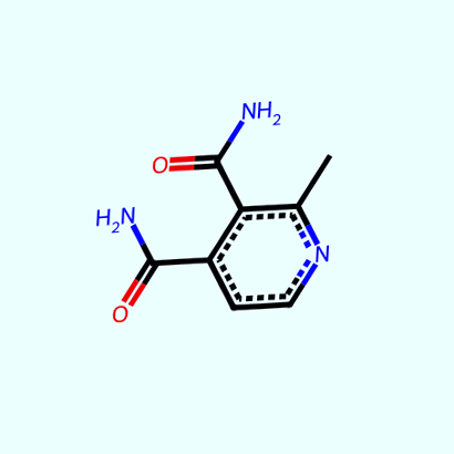 Cc1nccc(C(N)=O)c1C(N)=O